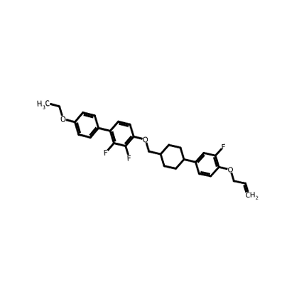 C=CCOc1ccc(C2CCC(COc3ccc(-c4ccc(OCC)cc4)c(F)c3F)CC2)cc1F